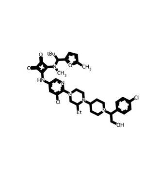 CCC1CN(c2ncc(Nc3c(N(C)C(c4ccc(C)o4)C(C)(C)C)c(=O)c3=O)cc2Cl)CCN1C1CCN(C(CO)c2ccc(Cl)cc2)CC1